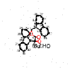 CC(C)(C)C(O[C]=O)(C(=O)OCC1c2ccccc2-c2ccccc21)C1c2ccccc2-c2ccccc21